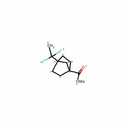 COC(=O)C12CCC(C(C)(F)F)(CC1)C2